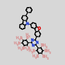 Bc1c(B)c(B)c(-c2nc(-c3ccc4oc5ccc(-n6c7ccccc7c7ccc(-c8ccccc8)cc76)cc5c4c3)nc(-c3c(B)c(B)c(B)c(B)c3B)n2)c(B)c1B